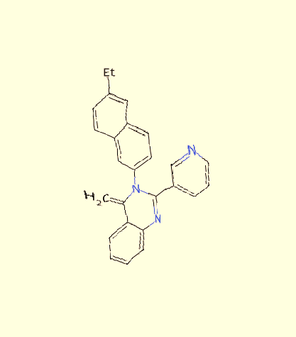 C=C1c2ccccc2N=C(c2cccnc2)N1c1ccc2cc(CC)ccc2c1